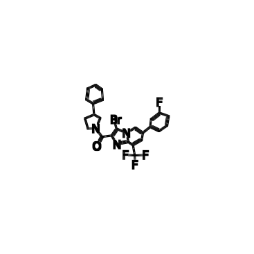 O=C(c1nc2c(C(F)(F)F)cc(-c3cccc(F)c3)cn2c1Br)N1CCC(c2ccccc2)C1